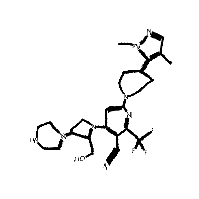 Cc1cnn(C)c1C1CCN(c2cc(N3CC(N4CCNCC4)C3CO)c(C#N)c(C(F)(F)F)n2)CC1